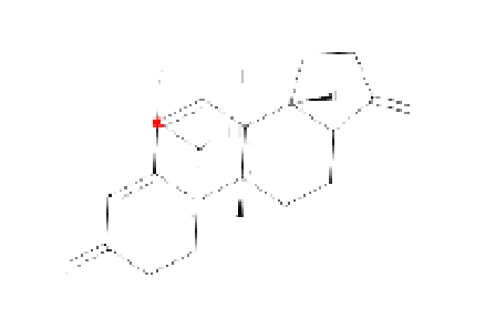 C[C@]12CC[C@H]3[C@@H](C=CC4=CC(=O)CC[C@@]43C(O)CBr)[C@@H]1CCC2=O